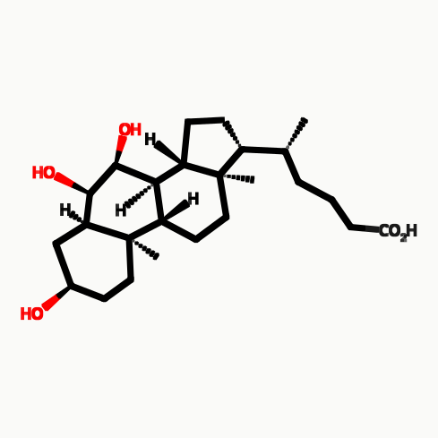 C[C@H](CCCC(=O)O)[C@H]1CC[C@H]2[C@@H]3[C@H](O)[C@H](O)[C@@H]4C[C@H](O)CC[C@]4(C)[C@H]3CC[C@]12C